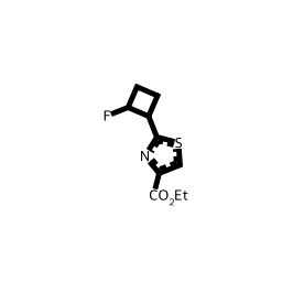 CCOC(=O)c1csc(C2CCC2F)n1